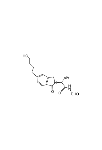 CCCC(C(=O)NC=O)N1Cc2cc(CCCCO)ccc2C1=O